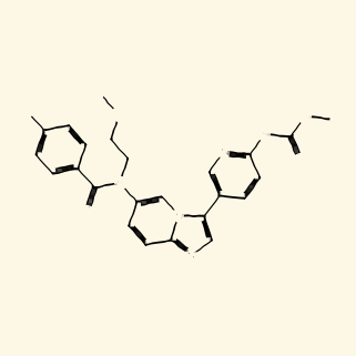 COCCN(C(=O)c1ccc(F)cc1)c1ccc2ncc(-c3ccc(NC(=O)OC)nc3)n2c1